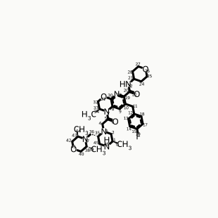 C[C@@H]1CN(CC(=O)N2c3cc(Cc4ccc(F)cc4)c(C(=O)NC4CCOCC4)nc3OC[C@@H]2C)[C@@H](CN2[C@H](C)COC[C@H]2C)CN1